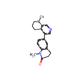 CN1C(=O)CCc2cc(-c3cncc4c3CCC[C@H]4C#N)ccc21